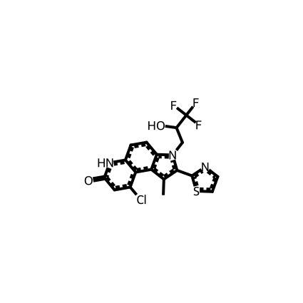 Cc1c(-c2nccs2)n(CC(O)C(F)(F)F)c2ccc3[nH]c(=O)cc(Cl)c3c12